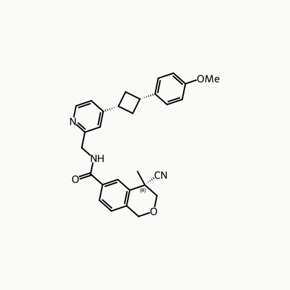 COc1ccc([C@H]2C[C@@H](c3ccnc(CNC(=O)c4ccc5c(c4)[C@](C)(C#N)COC5)c3)C2)cc1